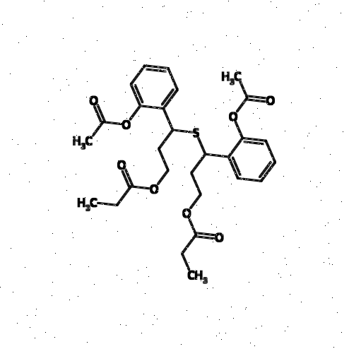 CCC(=O)OCCC(SC(CCOC(=O)CC)c1ccccc1OC(C)=O)c1ccccc1OC(C)=O